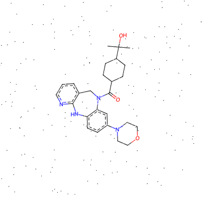 CC(C)(O)C1CCC(C(=O)N2Cc3cccnc3Nc3ccc(N4CCOCC4)cc32)CC1